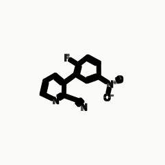 N#Cc1ncccc1-c1cc([N+](=O)[O-])ccc1F